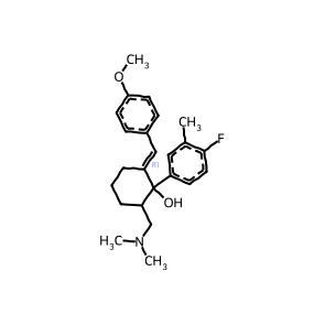 COc1ccc(/C=C2\CCCC(CN(C)C)C2(O)c2ccc(F)c(C)c2)cc1